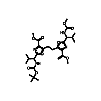 C=C(OC)c1nc(C(NC(=O)OC)C(C)C)oc1CCc1oc(C(NC(=O)OC(C)(C)C)C(C)C)nc1C(=O)OC